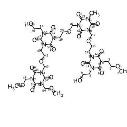 COCCn1c(=O)n(CCO)c(=O)n(CCOCn2c(=O)n(C)c(=O)n(COCCn3c(=O)n(CCO)c(=O)n(CCOCn4c(=O)n(COC)c(=O)n(COC)c4=O)c3=O)c2=O)c1=O